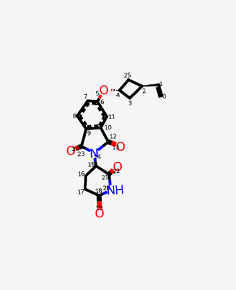 C=C[C@H]1C[C@H](Oc2ccc3c(c2)C(=O)N(C2CCC(=O)NC2=O)C3=O)C1